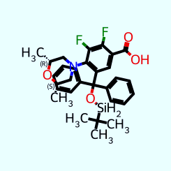 C[C@@H]1CN(c2c(C(O[SiH2]C(C)(C)C)(c3ccccc3)c3ccccc3)cc(C(=O)O)c(F)c2F)C[C@H](C)O1